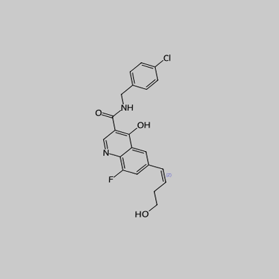 O=C(NCc1ccc(Cl)cc1)c1cnc2c(F)cc(/C=C\CCO)cc2c1O